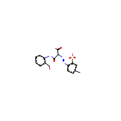 CC(=O)C(N=Nc1ccc(C)cc1S(=O)(=O)O)C(=O)Nc1ccccc1CO